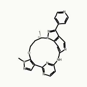 C[C@H]1CCOc2c(cnn2C)-c2nccc(n2)Nc2cc3c(cn2)c(-c2ccncc2)nn31